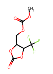 COC(=O)OCC1OC(=O)OC1C(F)(F)F